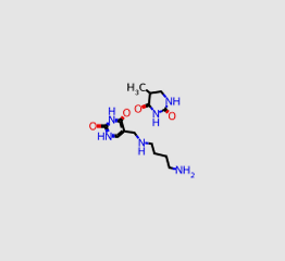 CC1CNC(=O)NC1=O.NCCCCNCc1c[nH]c(=O)[nH]c1=O